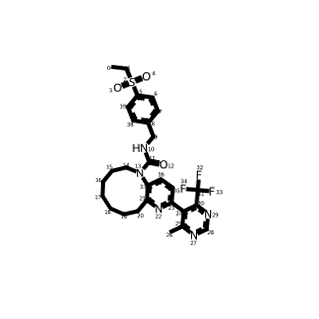 CCS(=O)(=O)c1ccc(CNC(=O)N2CCCCCCCc3nc(-c4c(C)ncnc4C(F)(F)F)ccc32)cc1